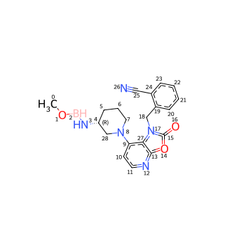 COBN[C@@H]1CCCN(c2ccnc3oc(=O)n(Cc4ccccc4C#N)c23)C1